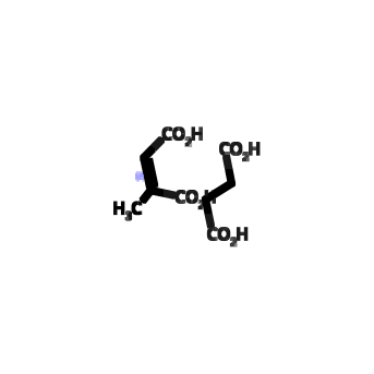 C/C(=C/C(=O)O)C(=O)O.O=C(O)CCC(=O)O